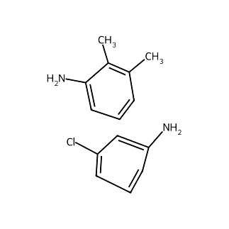 Cc1cccc(N)c1C.Nc1cccc(Cl)c1